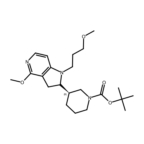 COCCCN1c2ccnc(OC)c2CC1[C@@H]1CCCN(C(=O)OC(C)(C)C)C1